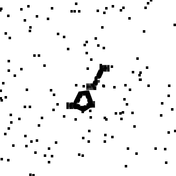 N=C=N.c1c[nH]cn1